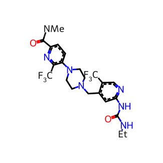 CCNC(=O)Nc1cc(CN2CCN(c3ccc(C(=O)NC)nc3C(F)(F)F)CC2)c(C(F)(F)F)cn1